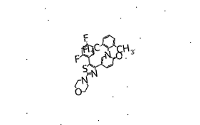 Cc1cccc(C)c1-n1cc(-c2nc(N3CCOCC3)sc2-c2ccc(F)cc2F)ccc1=O